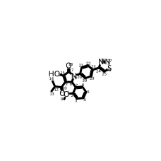 COc1ccccc1C1C(C(=O)C(C)C)=C(O)C(=O)N1c1ccc(-c2csnn2)cc1